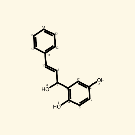 Oc1ccc(O)c(C(O)C=Cc2ccccc2)c1